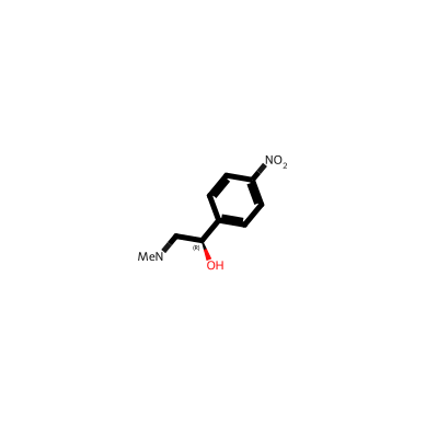 CNC[C@H](O)c1ccc([N+](=O)[O-])cc1